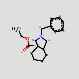 CCOC(=O)[C@]12CCCCC1CN(Cc1ccccc1)C2